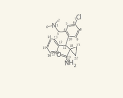 CN(C)Cc1cc(Cl)ccc1C(c1ccccc1)C1(C(N)=O)CC1